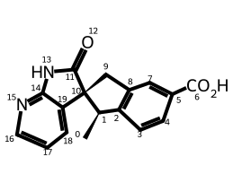 C[C@@H]1c2ccc(C(=O)O)cc2C[C@@]12C(=O)Nc1ncccc12